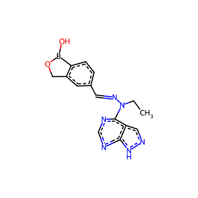 CCN(/N=C/c1ccc2c(c1)COB2O)c1ncnc2[nH]ncc12